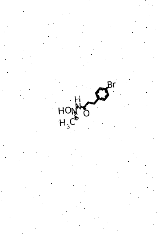 CSN(O)NC(=O)CCc1ccc(Br)cc1